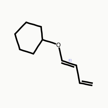 C=C/C=C/OC1CCCCC1